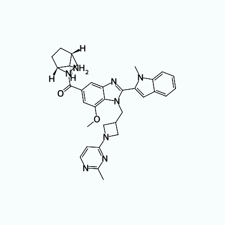 COc1cc(C(=O)N2C[C@H]3CC[C@@H]2[C@@H]3N)cc2nc(-c3cc4ccccc4n3C)n(CC3CN(c4ccnc(C)n4)C3)c12